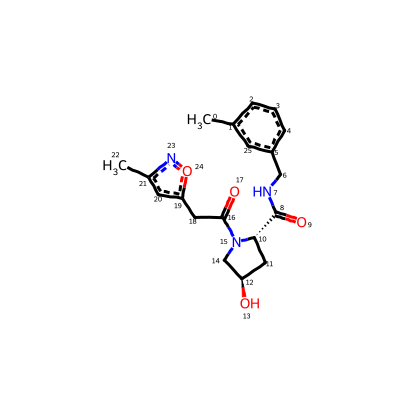 Cc1cccc(CNC(=O)[C@@H]2C[C@@H](O)CN2C(=O)Cc2cc(C)no2)c1